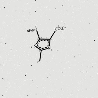 CCCCCc1sc(C)nc1C(=O)OCC